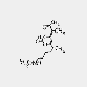 CN/C=C/CCC(C)/C(=C/C(C)=C(\C)C(C)=O)OC=O